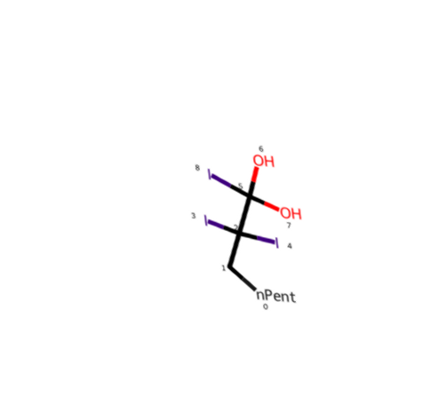 CCCCCCC(I)(I)C(O)(O)I